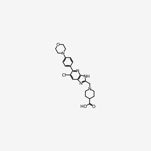 O=C(O)C1CCN(Cc2nc3cc(Cl)c(-c4ccc(N5CCOCC5)cc4)nc3[nH]2)CC1